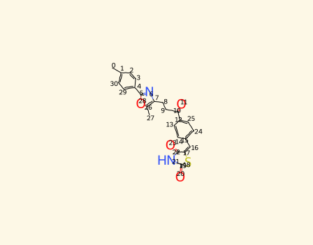 Cc1ccc(-c2nc(CCC(=O)c3ccc(C=C4SC(=O)NC4=O)cc3)c(C)o2)cc1